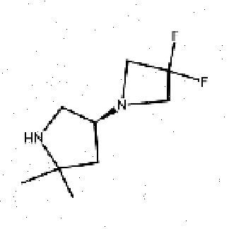 CC1(C)C[C@H](N2CC(F)(F)C2)CN1